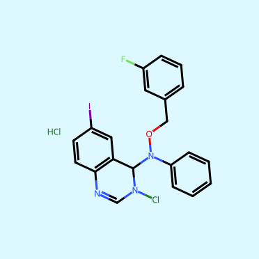 Cl.Fc1cccc(CON(c2ccccc2)C2c3cc(I)ccc3N=CN2Cl)c1